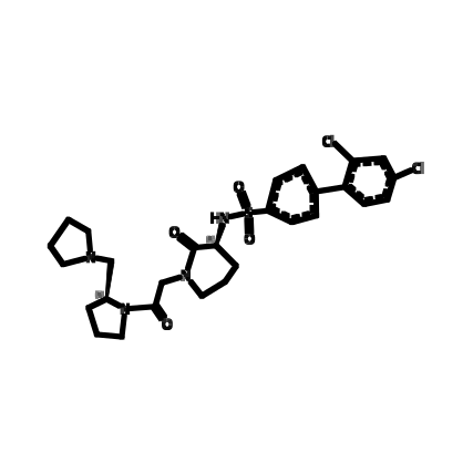 O=C1[C@@H](NS(=O)(=O)c2ccc(-c3ccc(Cl)cc3Cl)cc2)CCCN1CC(=O)N1CCC[C@H]1CN1CCCC1